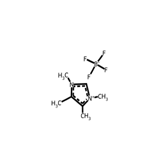 Cc1c(C)[n+](C)cn1C.F[B-](F)(F)F